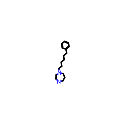 c1ccc(CCCCCCN2CCC[N]CC2)cc1